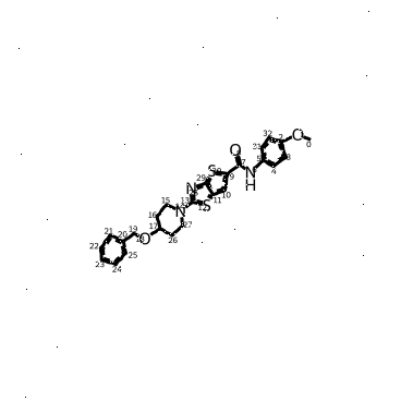 COc1ccc(NC(=O)c2cc3sc(N4CCC(OCc5ccccc5)CC4)nc3s2)cc1